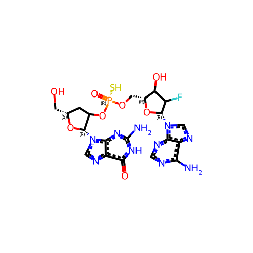 Nc1nc2c(ncn2[C@@H]2O[C@H](CO)CC2O[P@](=O)(S)OC[C@H]2O[C@@H](n3cnc4c(N)ncnc43)C(F)C2O)c(=O)[nH]1